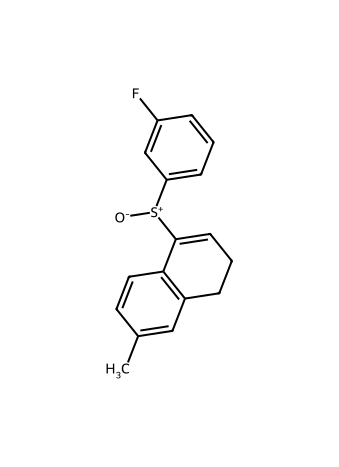 Cc1ccc2c(c1)CCC=C2[S+]([O-])c1cccc(F)c1